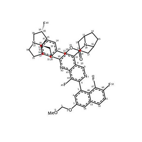 COCOc1cc(-c2ncc3c(C4CC5CCC(C4)N5C(=O)OCc4ccccc4)nc(OC[C@@]45CCCN4C[C@H](F)C5)nc3c2F)c2c(F)c(F)ccc2c1